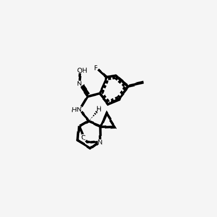 Cc1ccc(/C(=N\O)N[C@@H]2C3CCN(CC3)C23CC3)c(F)c1